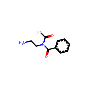 CCC(=O)N(CCN)C(=O)c1ccccc1